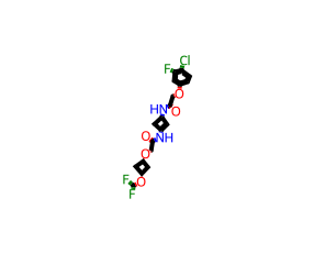 O=C(CO[C@H]1C[C@@H](OC(F)F)C1)NC1=CC(NC(=O)COc2ccc(Cl)c(F)c2)C1